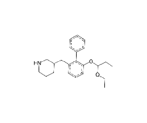 CCOC(CC)Oc1cccc(CC2CCCNC2)c1-c1ccccc1